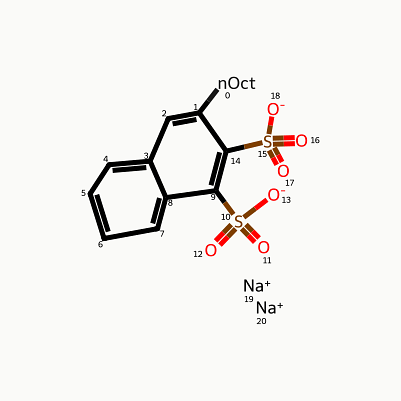 CCCCCCCCc1cc2ccccc2c(S(=O)(=O)[O-])c1S(=O)(=O)[O-].[Na+].[Na+]